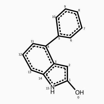 Oc1cc2c(-c3ccccc3)cccc2[nH]1